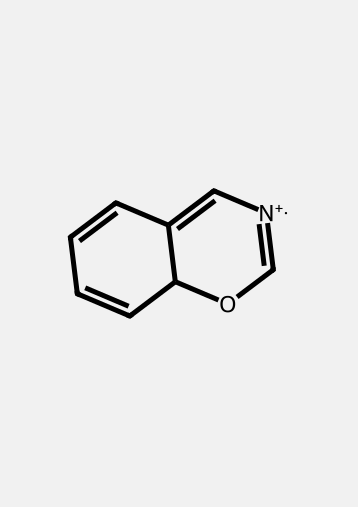 C1=CC2=C[N+]=COC2C=C1